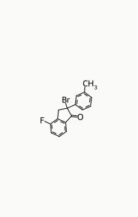 Cc1cccc(C2(Br)Cc3c(F)cccc3C2=O)c1